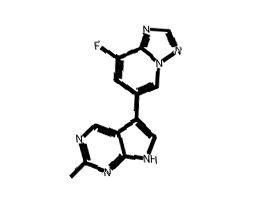 Cc1ncc2c(-c3cc(F)c4ncnn4c3)c[nH]c2n1